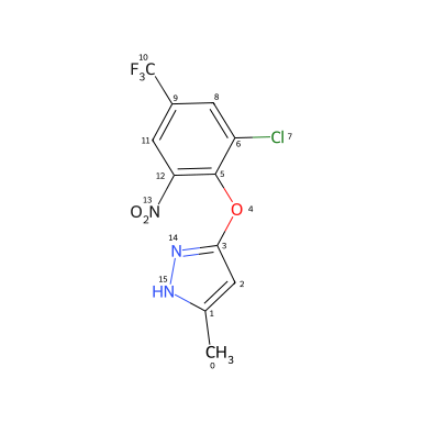 Cc1cc(Oc2c(Cl)cc(C(F)(F)F)cc2[N+](=O)[O-])n[nH]1